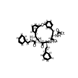 CCC(=O)N[C@H]1Cc2cccc(c2)Oc2cccc(c2)C[C@@H](C(=O)NCc2ccccc2)NC(=O)[C@H](CCc2ccccc2)NC1=O